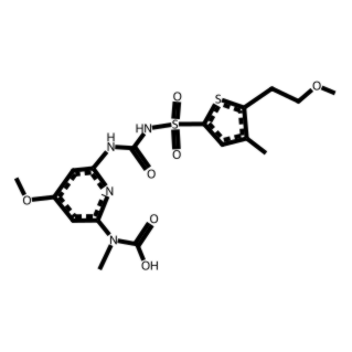 COCCc1sc(S(=O)(=O)NC(=O)Nc2cc(OC)cc(N(C)C(=O)O)n2)cc1C